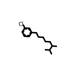 CC(C)C(C)CCCCCc1cccc(Cl)c1